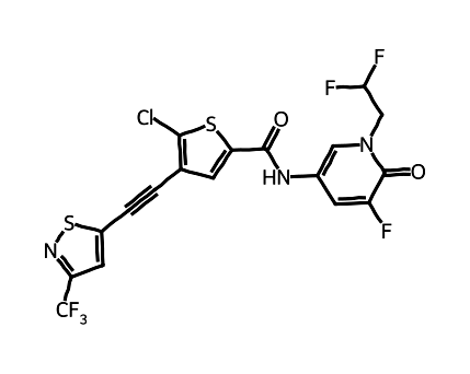 O=C(Nc1cc(F)c(=O)n(CC(F)F)c1)c1cc(C#Cc2cc(C(F)(F)F)ns2)c(Cl)s1